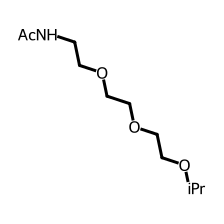 CC(=O)NCCOCCOCCOC(C)C